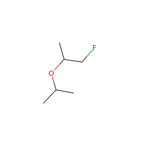 CC(C)OC(C)CF